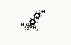 [CH3][Sn]([CH3])([CH3])[c]1ccc(N2CCC(O)CC2)cc1